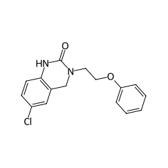 O=C1Nc2ccc(Cl)cc2CN1CCOc1ccccc1